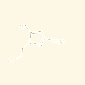 CCOC(=O)c1cc(N)n(CCC(C)C)n1